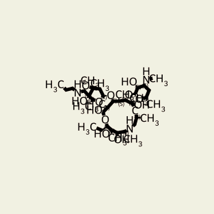 CCCNC[C@]1(O)[C@H](C)O[C@@H](O[C@H]2[C@H](C)[C@@H](O[C@@H]3O[C@H](C)C[C@H](NC)[C@H]3O)[C@](C)(O)C[C@@H](C)CN[C@H](C)[C@@H](O)[C@](C)(O)[C@@H](CC)OC(O)[C@@H]2C)C[C@@]1(C)OC